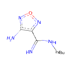 CCCCNC(=N)c1nonc1N